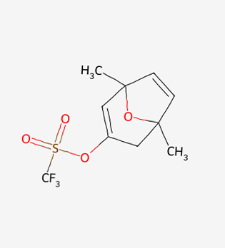 CC12C=CC(C)(CC(OS(=O)(=O)C(F)(F)F)=C1)O2